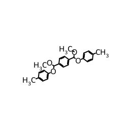 COC(Oc1ccc(C)cc1)c1ccc(C(OC)Oc2ccc(C)cc2)cc1